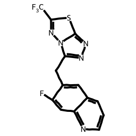 Fc1cc2ncccc2cc1Cc1nnc2sc(C(F)(F)F)nn12